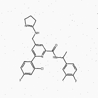 Cc1cc(C(C)NC(=O)c2cc(CNC3=NCCC3)cc(-c3ccc(F)cc3Cl)n2)ccc1F